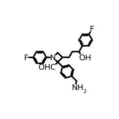 NCc1ccc(C2(C=O)C(CCC(O)c3ccc(F)cc3)CN2c2ccc(F)cc2)cc1